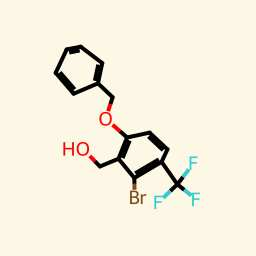 OCc1c(OCc2ccccc2)ccc(C(F)(F)F)c1Br